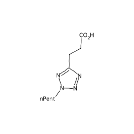 CCCCCn1nnc(CCC(=O)O)n1